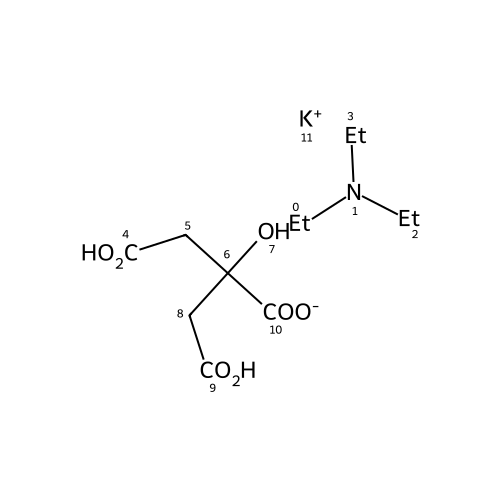 CCN(CC)CC.O=C(O)CC(O)(CC(=O)O)C(=O)[O-].[K+]